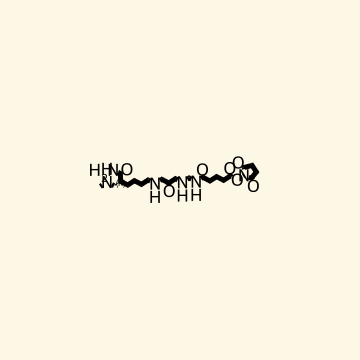 CNC[C@@H](CCCCNCC(=O)CNCNC(=O)CCCC(=O)ON1C(=O)CCC1=O)C(N)=O